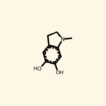 CN1CCc2cc(O)c(O)cc21